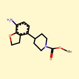 CC(C)(C)OC(=O)N1CCC(c2ccc(N)c3c2CCO3)CC1